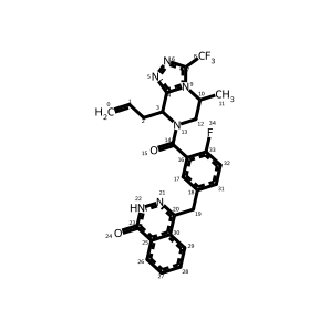 C=CCC1c2nnc(C(F)(F)F)n2C(C)CN1C(=O)c1cc(Cc2n[nH]c(=O)c3ccccc23)ccc1F